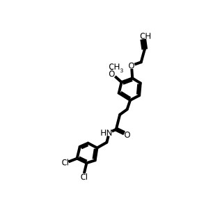 C#CCOc1ccc(CCC(=O)NCc2ccc(Cl)c(Cl)c2)cc1OC